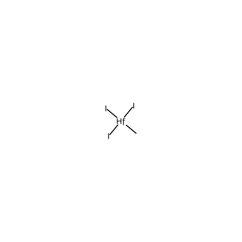 [CH3][Hf]([I])([I])[I]